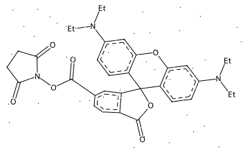 CCN(CC)c1ccc2c(c1)Oc1cc(N(CC)CC)ccc1C21OC(=O)c2ccc(C(=O)ON3C(=O)CCC3=O)cc21